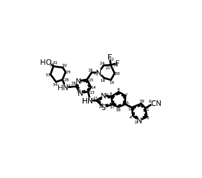 N#Cc1cncc(-c2ccc3nc(Nc4cc(CN5CCCC(F)(F)C5)nc(NC5CCC(O)CC5)n4)sc3c2)c1